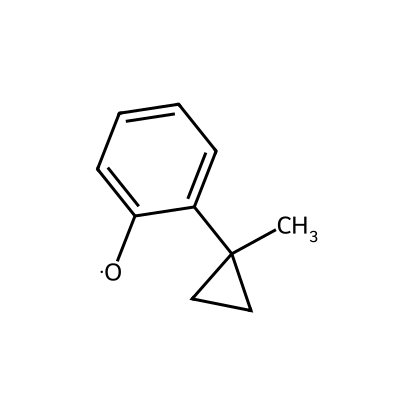 CC1(c2ccccc2[O])CC1